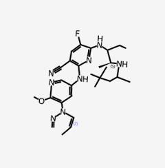 C=NN(/C=C\C)c1cc(Nc2nc(NC(CC)[C@H](C)NC(C)CC(C)(C)C)c(F)cc2C#N)cnc1OC